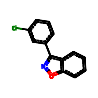 Clc1cccc(-c2noc3ccccc23)c1